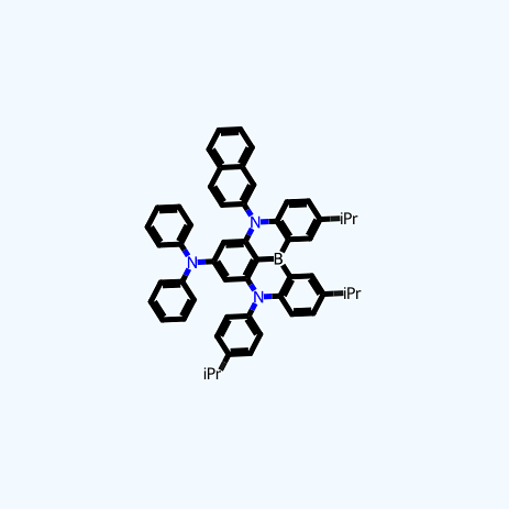 CC(C)c1ccc(N2c3ccc(C(C)C)cc3B3c4cc(C(C)C)ccc4N(c4ccc5ccccc5c4)c4cc(N(c5ccccc5)c5ccccc5)cc2c43)cc1